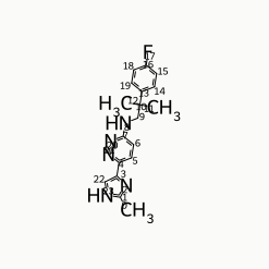 Cc1nc(-c2ccc(NCC(C)(C)c3ccc(F)cc3)nn2)c[nH]1